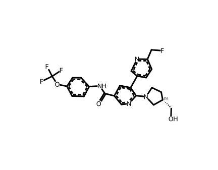 O=C(Nc1ccc(OC(F)(F)F)cc1)c1cnc(N2CC[C@H](CO)C2)c(-c2ccc(CF)nc2)c1